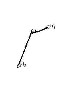 CCCCCCCCCCCCCCCCCCCCCCCCCCCCCCC(CC)CCCCCCCCCCCCCCCC